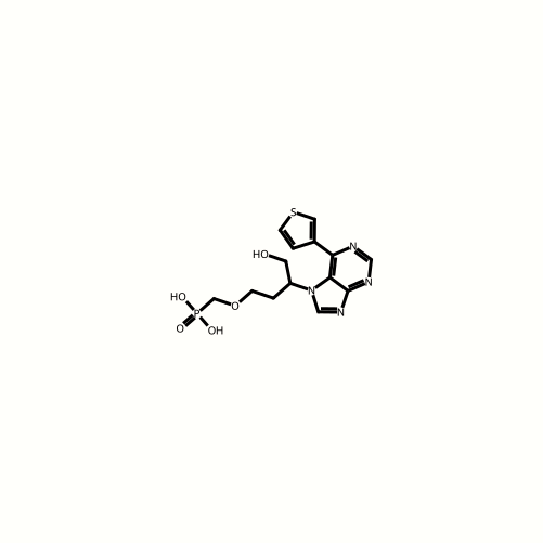 O=P(O)(O)COCCC(CO)n1cnc2ncnc(-c3ccsc3)c21